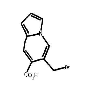 O=C(O)c1cc2cccn2cc1CBr